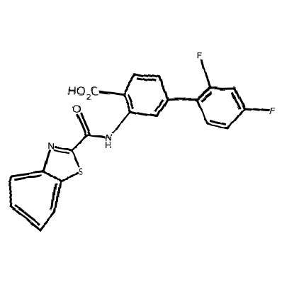 O=C(Nc1cc(-c2ccc(F)cc2F)ccc1C(=O)O)c1nc2ccccc2s1